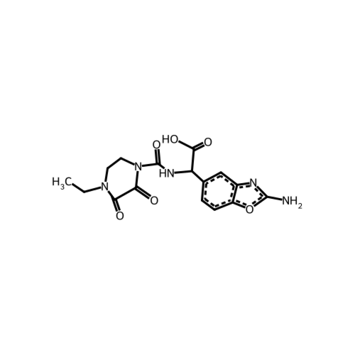 CCN1CCN(C(=O)NC(C(=O)O)c2ccc3oc(N)nc3c2)C(=O)C1=O